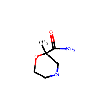 CC1(C(N)=O)C[N]CCO1